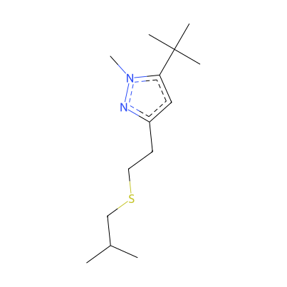 CC(C)CSCCc1cc(C(C)(C)C)n(C)n1